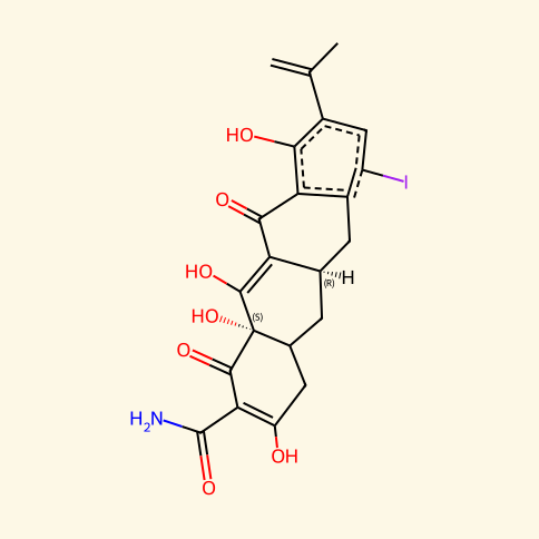 C=C(C)c1cc(I)c2c(c1O)C(=O)C1=C(O)[C@]3(O)C(=O)C(C(N)=O)=C(O)CC3C[C@@H]1C2